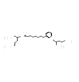 CCCCC(CC)COC(=O)CCCCCCCc1cccc(OCC(CC)CCCC)c1